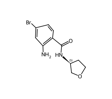 Nc1cc(Br)ccc1C(=O)N[C@H]1CCOC1